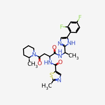 Cc1ncc(C(=O)NC(CC(=O)N2CCCC[C@@H]2C)C(=O)NC(C)c2ncc(-c3ccc(F)cc3F)[nH]2)s1